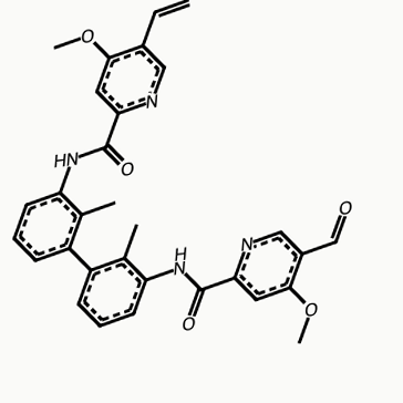 C=Cc1cnc(C(=O)Nc2cccc(-c3cccc(NC(=O)c4cc(OC)c(C=O)cn4)c3C)c2C)cc1OC